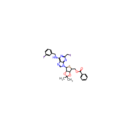 CC1(C)OC2C(COC(=O)c3ccccc3)SC(n3cnc4c(NCc5cccc(I)c5)nc(CI)nc43)C2O1